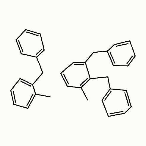 Cc1cccc(Cc2ccccc2)c1Cc1ccccc1.Cc1ccccc1Cc1ccccc1